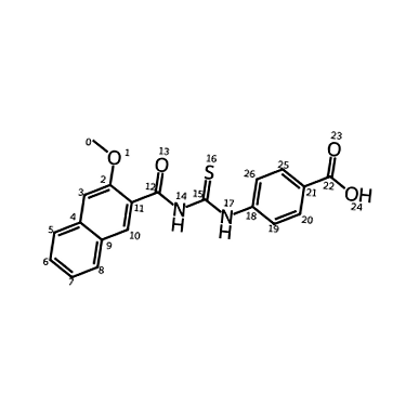 COc1cc2ccccc2cc1C(=O)NC(=S)Nc1ccc(C(=O)O)cc1